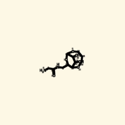 NCC(=O)NCC1OC2OCCCOC1C(O)C2O